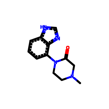 CN1CCN(c2cccc3[nH]cnc23)C(=O)C1